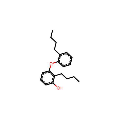 CCCCc1ccccc1Oc1cccc(O)c1CCCC